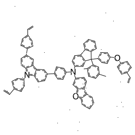 C=Cc1ccc(Oc2ccc(C3(c4cc(C)ccc4C)c4ccccc4-c4ccc(N(c5ccc(-c6ccc7c(c6)c6cc(-c8ccc(C=C)cc8)ccc6n7-c6ccc(C=C)cc6)cc5)c5ccc6c(c5)oc5ccccc56)cc43)cc2)cc1